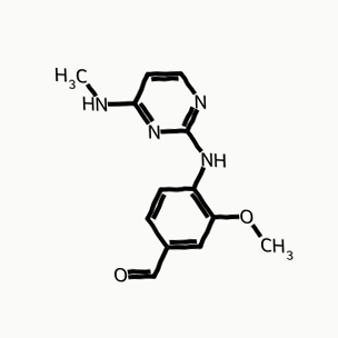 CNc1ccnc(Nc2ccc(C=O)cc2OC)n1